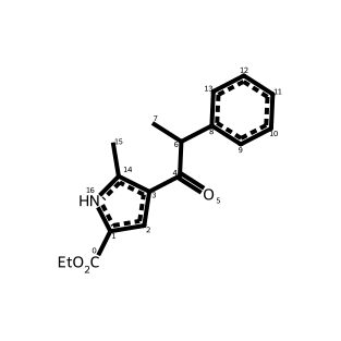 CCOC(=O)c1cc(C(=O)C(C)c2ccccc2)c(C)[nH]1